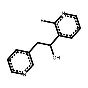 OC(Cc1cccnc1)c1cccnc1F